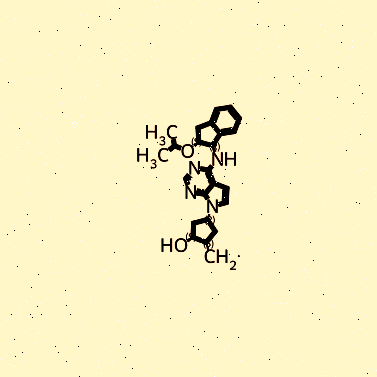 [CH2][C@H]1C[C@@H](n2ccc3c(N[C@@H]4c5ccccc5C[C@@H]4OC(C)C)ncnc32)C[C@@H]1O